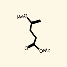 C=C(CCC(=O)OC)OC